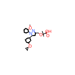 COc1ccccc1-n1nc(COC(C)(C)C(=O)O)cc1-c1cccc(OC2CC2)c1